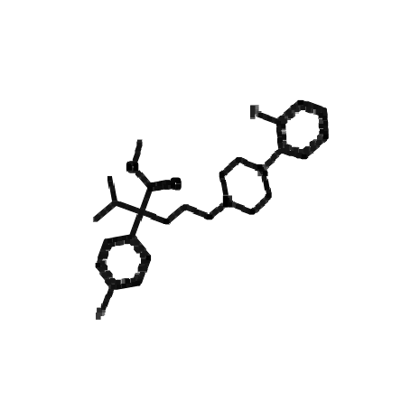 COC(=O)C(CCCN1CCN(c2ccccc2F)CC1)(c1ccc(F)cc1)C(C)C